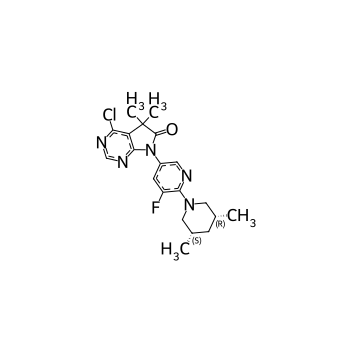 C[C@@H]1C[C@H](C)CN(c2ncc(N3C(=O)C(C)(C)c4c(Cl)ncnc43)cc2F)C1